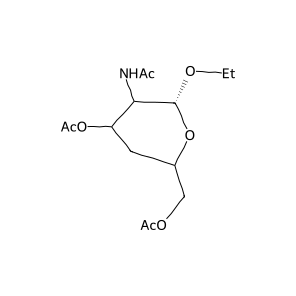 CCO[C@@H]1OC(COC(C)=O)CC(OC(C)=O)C1NC(C)=O